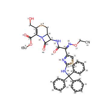 CC(C)(C)OC(=O)C1=C(CO)SCC2C(NC(=O)C(=NOCC#N)c3csc(NC(c4ccccc4)(c4ccccc4)c4ccccc4)n3)C(=O)N12